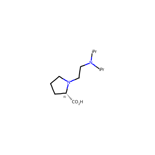 CC(C)N(CCN1CCC[C@H]1C(=O)O)C(C)C